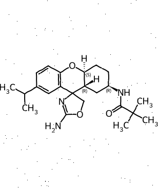 CC(C)c1ccc2c(c1)C1(COC(N)=N1)[C@H]1C[C@H](NC(=O)C(C)(C)C)CC[C@@H]1O2